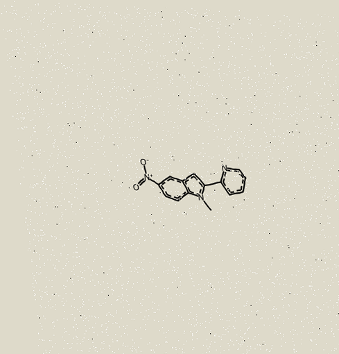 Cn1c(-c2ccccn2)cc2cc([N+](=O)[O-])ccc21